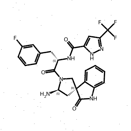 N[C@@H]1C[C@@]2(CN1C(=O)[C@H](Cc1cccc(F)c1)NC(=O)c1cc(C(F)(F)F)n[nH]1)C(=O)Nc1ccccc12